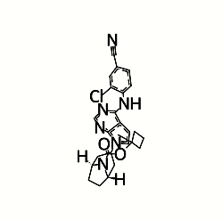 CC1(OC(=O)N2[C@H]3CC[C@H]2CC(n2ccc4c(Nc5ccc(C#N)cc5Cl)ncnc42)C3)CCC1